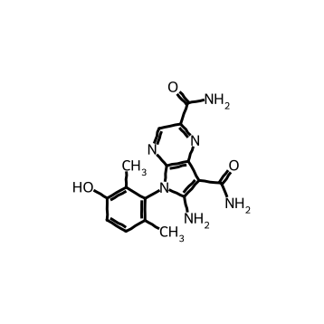 Cc1ccc(O)c(C)c1-n1c(N)c(C(N)=O)c2nc(C(N)=O)cnc21